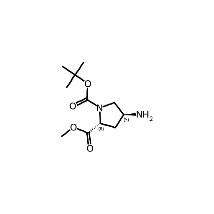 COC(=O)[C@H]1C[C@H](N)CN1C(=O)OC(C)(C)C